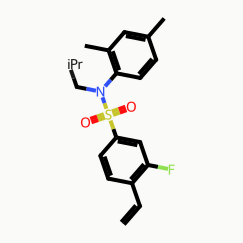 C=Cc1ccc(S(=O)(=O)N(CC(C)C)c2ccc(C)cc2C)cc1F